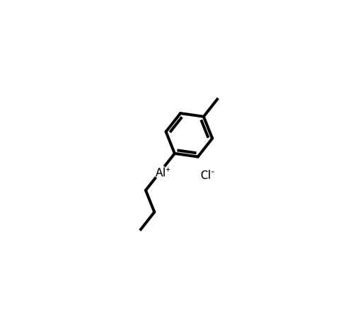 CC[CH2][Al+][c]1ccc(C)cc1.[Cl-]